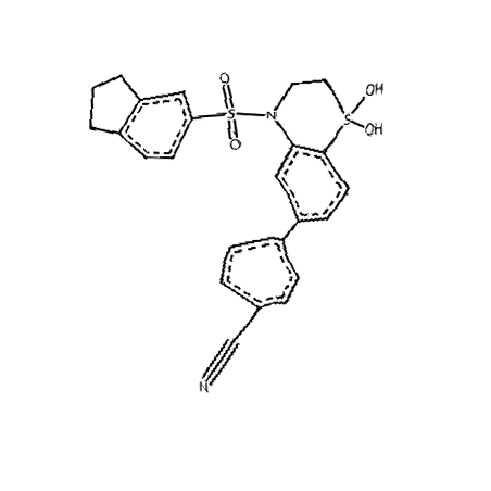 N#Cc1ccc(-c2ccc3c(c2)N(S(=O)(=O)c2ccc4c(c2)CCC4)CCS3(O)O)cc1